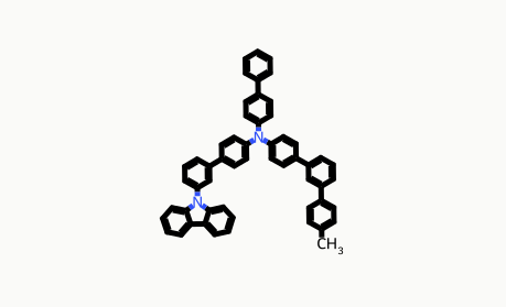 Cc1ccc(-c2cccc(-c3ccc(N(c4ccc(-c5ccccc5)cc4)c4ccc(-c5cccc(-n6c7ccccc7c7ccccc76)c5)cc4)cc3)c2)cc1